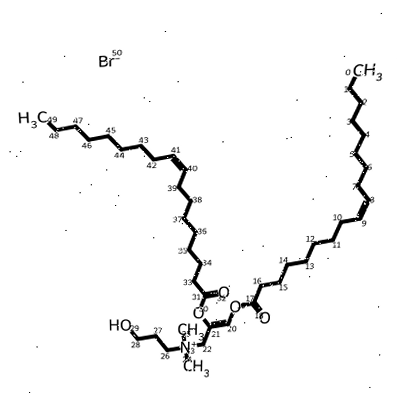 CCCCCCCC/C=C\CCCCCCCC(=O)OC=C(C[N+](C)(C)CCCO)OC(=O)CCCCCCC/C=C\CCCCCCCC.[Br-]